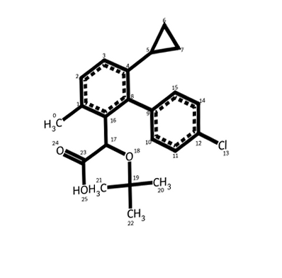 Cc1ccc(C2CC2)c(-c2ccc(Cl)cc2)c1C(OC(C)(C)C)C(=O)O